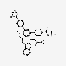 COCCCN1CC(CN(C(=O)[C@H]2CN(C(=O)OC(C)(C)C)CC[C@@H]2c2cccc(-c3ccc(-c4nnn[nH]4)cc3)c2)C2CC2)c2ccccc21